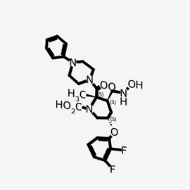 C[C@@]1(C(=O)N2CCN(c3ccccc3)CC2)[C@@H](C(=O)NO)C[C@H](Oc2cccc(F)c2F)CN1C(=O)O